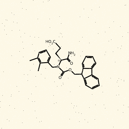 Cc1cccc(CN(C(=O)OCC2c3ccccc3-c3ccccc32)[C@@H](CCC(=O)O)C(N)=O)c1C